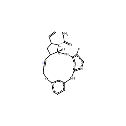 C=CC1CC2/C=C\COc3cccc(c3)Nc3ncc(F)c(n3)N[C@H]2[C@H]1C(N)=O